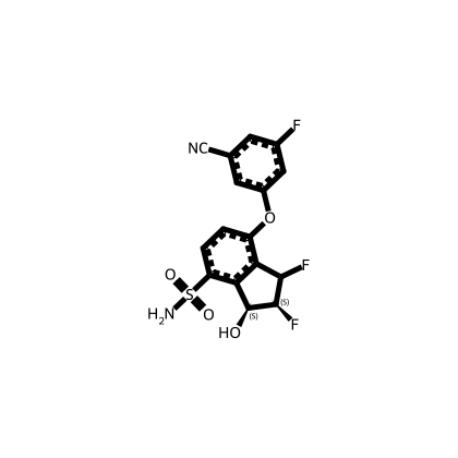 N#Cc1cc(F)cc(Oc2ccc(S(N)(=O)=O)c3c2C(F)[C@@H](F)[C@H]3O)c1